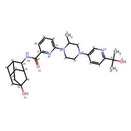 CC1CN(c2ccc(C(C)(C)O)nc2)CCN1c1cccc(C(=O)NC2C3CC4CC2CC(O)(C4)C3)n1